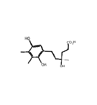 Cc1c(O)cc(CC[C@](C)(O)CCC(=O)O)c(O)c1C